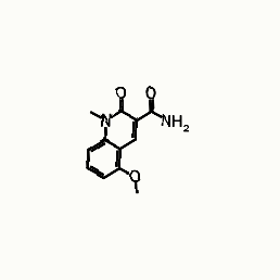 COc1cccc2c1cc(C(N)=O)c(=O)n2C